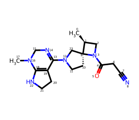 C[C@H]1CN(C(=O)CC#N)[C@]12CCN(C1=NCN(C)C3=C1CCN3)C2